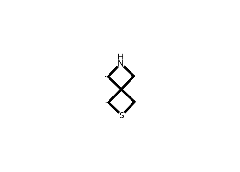 [CH]1NCC12[CH]SC2